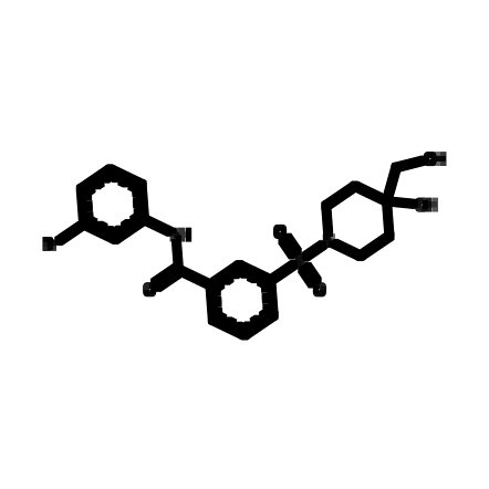 O=C(Nc1cccc(Br)c1)c1cccc(S(=O)(=O)N2CCC(O)(CO)CC2)c1